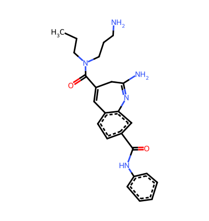 CCCN(CCCN)C(=O)C1=Cc2ccc(C(=O)Nc3ccccc3)cc2N=C(N)C1